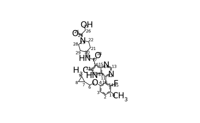 Cc1ccc(OCC2CC2)c(-c2ncnc3c(C(=O)NC4CCN(C(=O)CO)CC4)c(C)[nH]c23)c1F